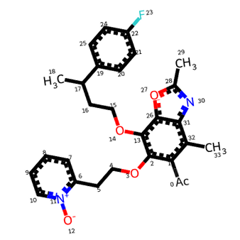 CC(=O)c1c(OCCc2cccc[n+]2[O-])c(OCCC(C)c2ccc(F)cc2)c2oc(C)nc2c1C